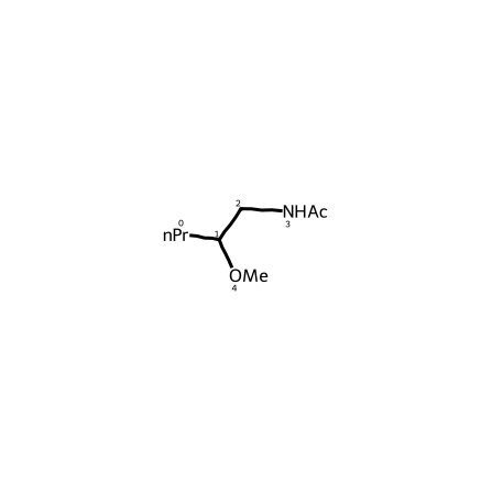 CCCC(CNC(C)=O)OC